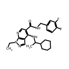 CCn1ncc2c(NC(C)C3CCCCC3)c(C(=O)NCc3ccc(F)c(F)c3)cnc21